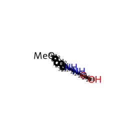 COc1ccc2c(c1)CCC1C2CC[C@]2(C)C(NCCCNCCCOCCCO)CCC12